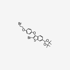 CC1(C)OC(c2ccc3c(Oc4ccc(OCCBr)cc4)c(Br)sc3c2)OC1(C)C